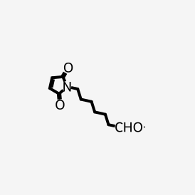 O=[C]CCCCCCN1C(=O)C=CC1=O